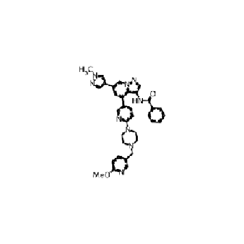 COc1ccc(CN2CCN(c3ccc(-c4cc(-c5cnn(C)c5)cn5ncc(NC(=O)c6ccccc6)c45)cn3)CC2)cn1